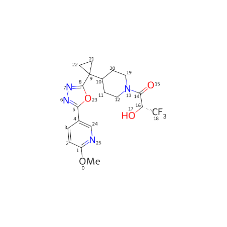 COc1ccc(-c2nnc(C3(C4CCN(C(=O)[C@@H](O)C(F)(F)F)CC4)CC3)o2)cn1